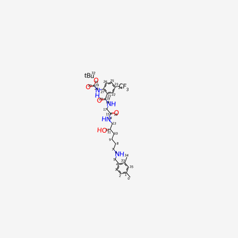 Cc1ccc(CNCCCCC(O)CNC(=O)CNC(=O)c2cc(C(F)(F)F)ccc2NC(=O)OC(C)(C)C)c(C)c1